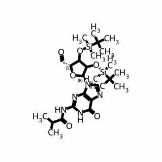 CC(C)C(=O)Nc1nc2c(ncn2[C@@H]2O[C@H](C=O)C(O[Si](C)(C)C(C)(C)C)C2O[Si](C)(C)C(C)(C)C)c(=O)[nH]1